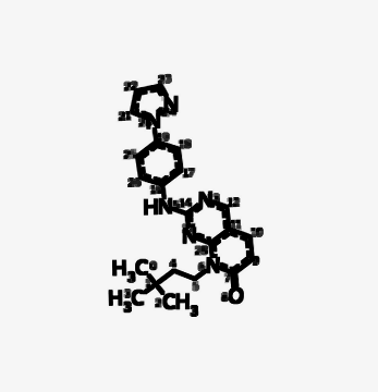 CC(C)(C)CCn1c(=O)ccc2cnc(Nc3ccc(-n4cccn4)cc3)nc21